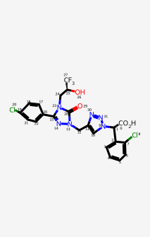 O=C(O)C(c1ccccc1Cl)n1cc(Cn2nc(-c3ccc(Cl)cc3)n(C[C@H](O)C(F)(F)F)c2=O)nn1